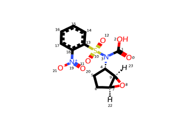 O=C(O)N([C@H]1CC[C@@H]2O[C@@H]21)S(=O)(=O)c1ccccc1[N+](=O)[O-]